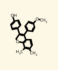 COc1ccc(C2=C(c3ccc(O)cc3)COc3c2ccc(C)c3C)cc1